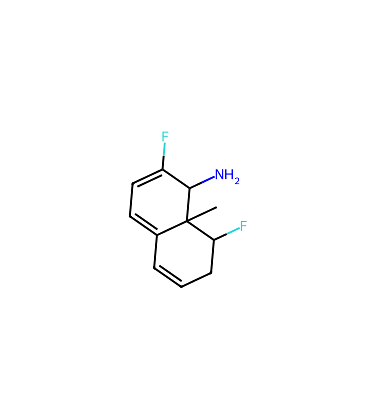 CC12C(=CC=C(F)C1N)C=CCC2F